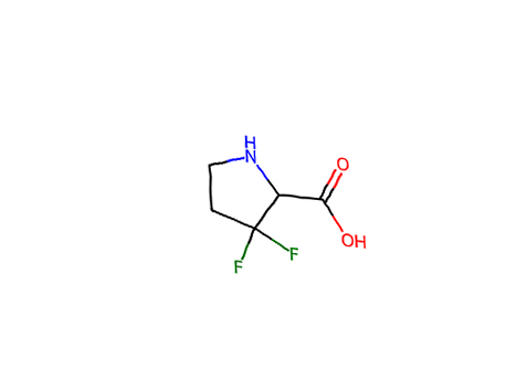 O=C(O)C1NCCC1(F)F